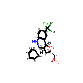 OC[C@@H]1C[C@@H]2[C@H](O1)c1cc(C(F)(F)F)ccc1N[C@H]2C1C=CC=CC1